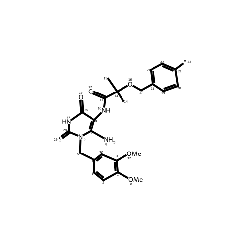 COc1ccc(Cn2c(N)c(NC(=O)C(C)(C)OCc3ccc(F)cc3)c(=O)[nH]c2=S)cc1OC